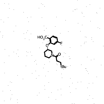 CC(C)(C)CCC(=O)N1CCC[C@H](Oc2cc(F)ccc2C(=O)O)C1